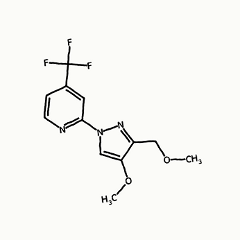 COCc1nn(-c2cc(C(F)(F)F)ccn2)cc1OC